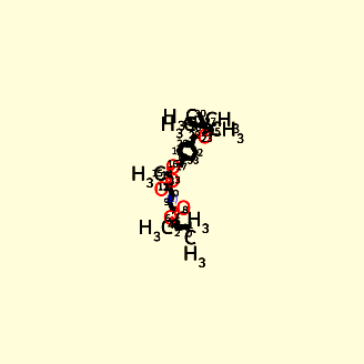 CCCC(C)(C)OC(=O)/C=C/C(=O)OC(C)OCC1CCC(COC(C)C(C)(CC)CC)CC1